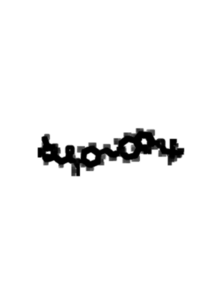 Cc1ncc(CC(=O)N[C@H]2CC[C@H](CCN3CCc4ccc(OCC(F)(F)F)nc4CC3)CC2)s1